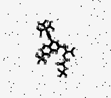 CC(C)C(CNC(=O)OC(C)(C)C)Nc1cc(C#C[Si](C(C)C)(C(C)C)C(C)C)c2cnc(S(C)(=O)=O)nc2n1